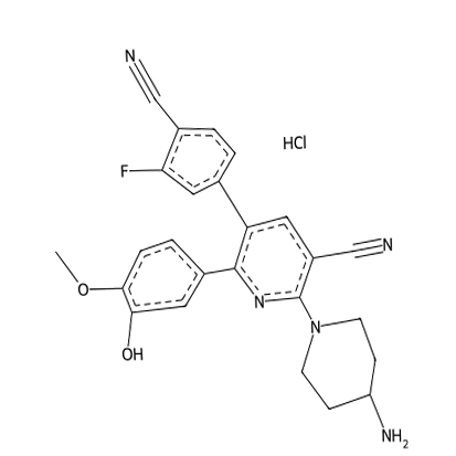 COc1ccc(-c2nc(N3CCC(N)CC3)c(C#N)cc2-c2ccc(C#N)c(F)c2)cc1O.Cl